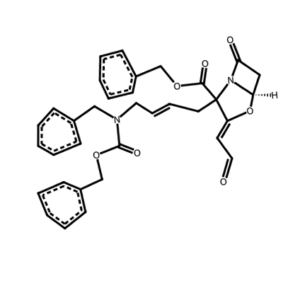 O=C/C=C1\O[C@@H]2CC(=O)N2C1(CC=CCN(Cc1ccccc1)C(=O)OCc1ccccc1)C(=O)OCc1ccccc1